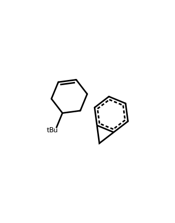 CC(C)(C)C1CC=CCC1.c1ccc2c(c1)C2